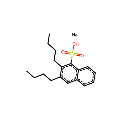 CCCCc1cc2ccccc2c(S(=O)(=O)O)c1CCCC.[Na]